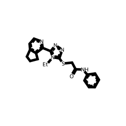 CCn1c(SCC(=O)Nc2ccccc2)nnc1-c1nccc2c1CCC2